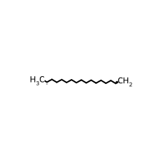 C=CCCCCCCCCCCCCC[CH]C